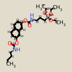 CCCCNC(=O)Oc1ccc2ccc(OC(=O)NCCC[Si](OCC)(OCC)OCC)cc2c1